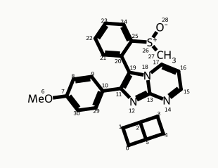 C1CC2CCC12.COc1ccc(-c2nc3ncccn3c2-c2ccccc2[S+](C)[O-])cc1